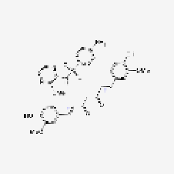 COc1cc(/C=C/C(=O)CC(=O)/C=C/c2ccc(O)c(OC)c2)ccc1O.COc1nccnc1NS(=O)(=O)c1ccc(N)cc1